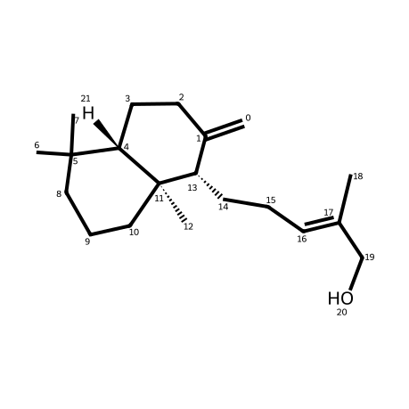 C=C1CC[C@H]2C(C)(C)CCC[C@]2(C)[C@H]1CC/C=C(\C)CO